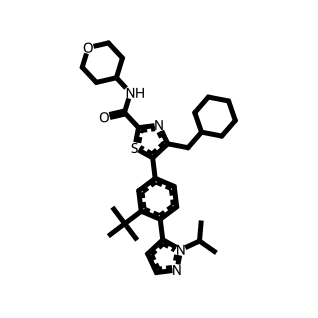 CC(C)n1nccc1-c1ccc(-c2sc(C(=O)NC3CCOCC3)nc2CC2CCCCC2)cc1C(C)(C)C